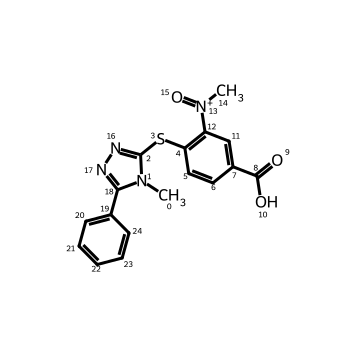 Cn1c(Sc2ccc(C(=O)O)cc2[N+](C)=O)nnc1-c1ccccc1